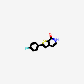 O=c1[nH]ccc2cc(-c3ccc(F)cc3)sc12